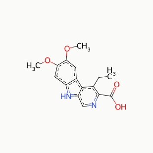 CCc1c(C(=O)O)ncc2[nH]c3cc(OC)c(OC)cc3c12